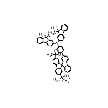 CC(C)(C)c1ccc2c(c1)C1(c3ccccc3-c3ccc(-c4ccc(N(c5ccc6c(c5)C(C)(C)c5ccccc5-6)c5ccc6c(c5)C(C)(C)c5ccccc5-6)cc4)cc31)c1cc(C(C)(C)C)ccc1-2